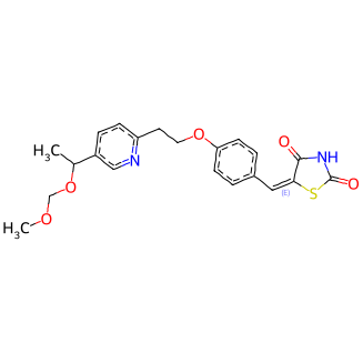 COCOC(C)c1ccc(CCOc2ccc(/C=C3/SC(=O)NC3=O)cc2)nc1